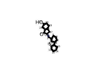 O=C1/C(=C/c2cccc3c2sc2ccccc23)Cc2ccc(O)cc21